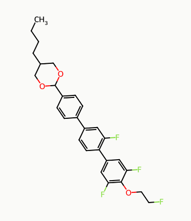 CCCCC1COC(c2ccc(-c3ccc(-c4cc(F)c(OCCF)c(F)c4)c(F)c3)cc2)OC1